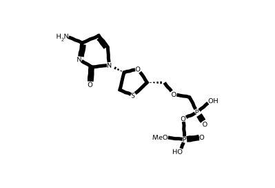 COP(=O)(O)OP(=O)(O)COC[C@H]1O[C@@H](n2ccc(N)nc2=O)CS1